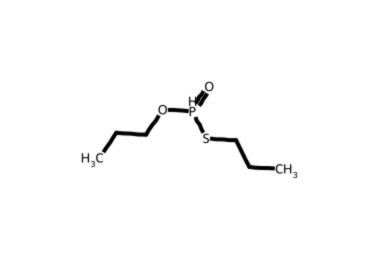 CCCO[PH](=O)SCCC